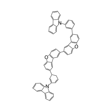 C1=CC(n2c3ccccc3c3ccccc32)=CC(c2ccc3oc4ccc(-c5ccc6oc7ccc(-c8cccc(-n9c%10ccccc%10c%10ccccc%109)c8)cc7c6c5)cc4c3c2)C1